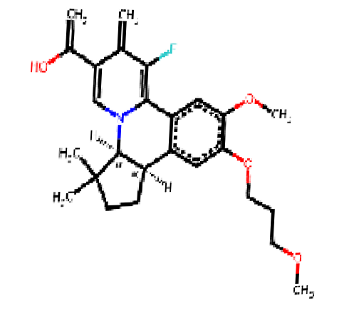 C=C(O)C1=CN2C(=C(F)C1=C)c1cc(OC)c(OCCCOC)cc1[C@H]1CCC(C)(C)[C@H]12